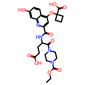 CCOC(=O)N1CCN(C(=O)C(CCC(=O)O)NC(=O)c2cc(OC3(C(=O)O)CCC3)c3ccc(O)cc3n2)CC1